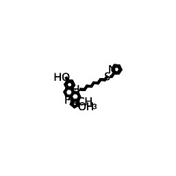 C[C@]12C[C@H](CCCCCCCCSCc3ccccn3)[C@@H]3c4ccc(O)cc4CC[C@H]3[C@@H]1CC[C@@H]2O